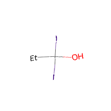 CCC(O)(I)I